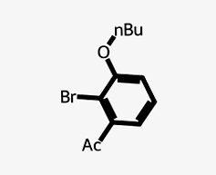 CCCCOc1cccc(C(C)=O)c1Br